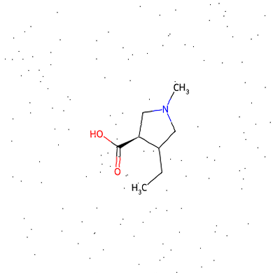 CCC1CN(C)C[C@@H]1C(=O)O